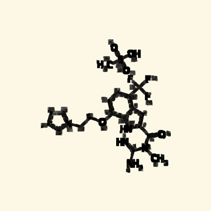 CN(C(=N)N)C(=O)c1cc2c(C(F)(F)F)ccc(OCCn3cccc3)c2[nH]1.CS(=O)(=O)O